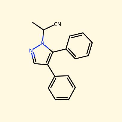 CC(C#N)n1ncc(-c2ccccc2)c1-c1ccccc1